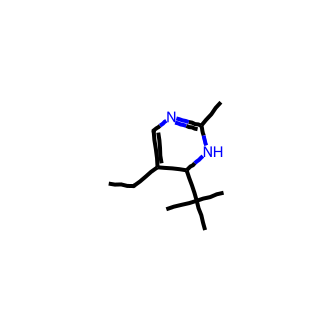 CCC1=CN=C(C)NC1C(C)(C)C